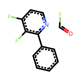 Fc1ccnc(-c2ccccc2)c1F.O=CF